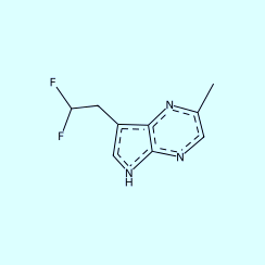 Cc1cnc2[nH]cc(CC(F)F)c2n1